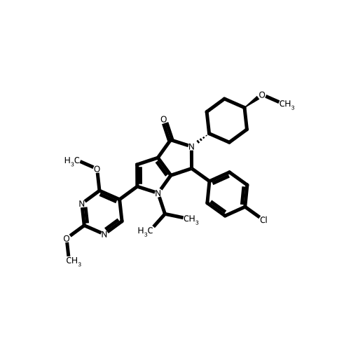 COc1ncc(-c2cc3c(n2C(C)C)C(c2ccc(Cl)cc2)N([C@H]2CC[C@H](OC)CC2)C3=O)c(OC)n1